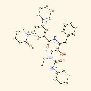 CCN(C[C@H](O)[C@H](Cc1ccccc1)NC(=O)c1cc(N2CCCCC2)cc(N2CCCCC2=O)c1)C(=O)NC1CCCCC1